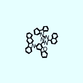 c1ccc2cc3c(cc2c1)c1ccccc1n3-c1cc(-c2nc(-c3cccc4ccccc34)nc(-n3c4ccccc4c4ccccc43)n2)c2oc3ccccc3c2c1